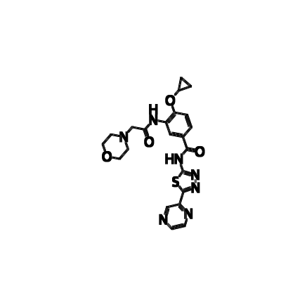 O=C(CN1CCOCC1)Nc1cc(C(=O)Nc2nnc(-c3cnccn3)s2)ccc1OC1CC1